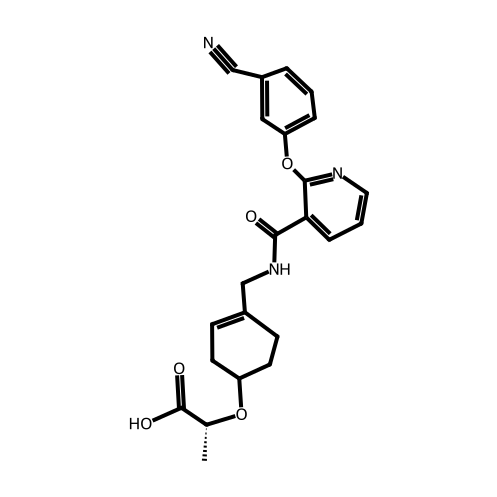 C[C@@H](OC1CC=C(CNC(=O)c2cccnc2Oc2cccc(C#N)c2)CC1)C(=O)O